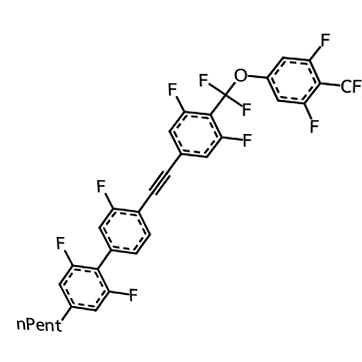 CCCCCc1cc(F)c(-c2ccc(C#Cc3cc(F)c(C(F)(F)Oc4cc(F)c(C(F)(F)F)c(F)c4)c(F)c3)c(F)c2)c(F)c1